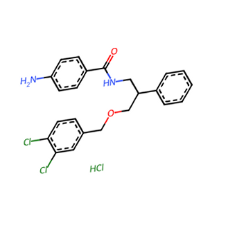 Cl.Nc1ccc(C(=O)NCC(COCc2ccc(Cl)c(Cl)c2)c2ccccc2)cc1